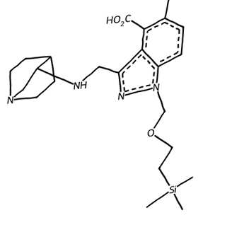 Cc1ccc2c(c(CNC3CN4CCC3CC4)nn2COCC[Si](C)(C)C)c1C(=O)O